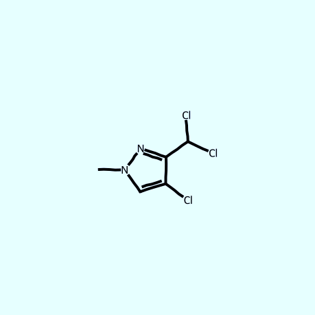 Cn1cc(Cl)c(C(Cl)Cl)n1